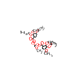 [CH2]COC[C](OOC(=O)c1ccc(OC)c(OC)c1OC)OOC(=O)c1ccc(OC)c(OC)c1OC